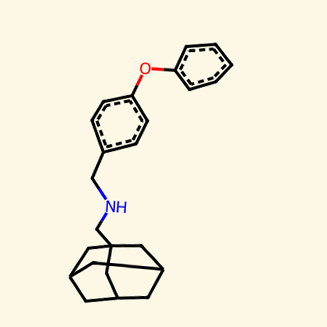 c1ccc(Oc2ccc(CNCC34CC5CC(CC(C5)C3)C4)cc2)cc1